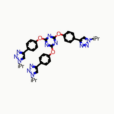 CC(C)n1cc(-c2ccc(Oc3nc(Oc4ccc(-c5cn(C(C)C)nn5)cc4)nc(Oc4ccc(-c5cn(C(C)C)nn5)cc4)n3)cc2)nn1